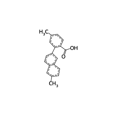 Cc1ccc(C(=O)O)c(-c2ccc3cc(C)ccc3c2)c1